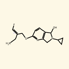 NC/C(=C/F)COc1ccc2c(n1)CN(C1CC1)C2O